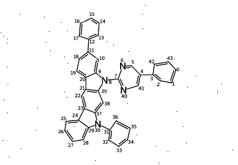 c1ccc(-c2cnc(-n3c4cc(-c5ccccc5)ccc4c4cc5c6ccccc6n(-c6ccccc6)c5cc43)nc2)cc1